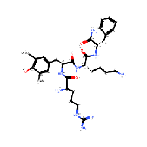 COc1cc(C[C@H](NC(=O)[C@H](N)CCCNC(=N)N)C(=O)N[C@@H](CCCCN)C(=O)N[C@@H](Cc2ccccc2)C(N)=O)cc(OC)c1O